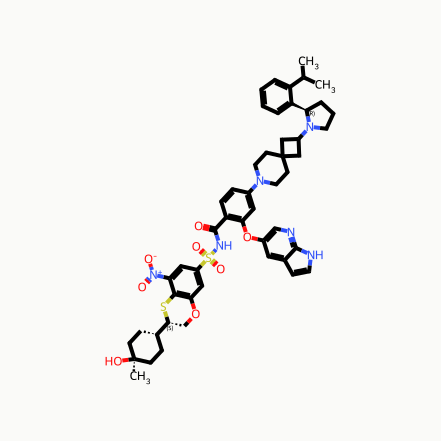 CC(C)c1ccccc1[C@H]1CCCN1C1CC2(CCN(c3ccc(C(=O)NS(=O)(=O)c4cc5c(c([N+](=O)[O-])c4)S[C@@H]([C@H]4CC[C@](C)(O)CC4)CO5)c(Oc4cnc5[nH]ccc5c4)c3)CC2)C1